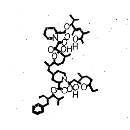 CCC1CCC(C)C(O)(CC(=O)N2CCC(CC(C)C3CCC(C)C(O)(C(=O)C(=O)N4CCCCC4C(=O)OC(/C(C)=C/C(C)C(C)O)C(C)C)O3)CC2C(=O)OC(C(C)C)C(CC)Cc2ccccc2)O1